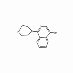 Brc1cnc(N2CCNCC2)c2ccccc12